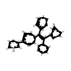 c1ccc(C(=C(c2ccccc2)c2ccc(-c3cccnc3)cc2)c2ccccc2)cc1